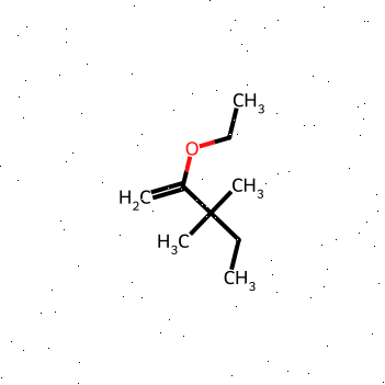 C=C(OCC)C(C)(C)CC